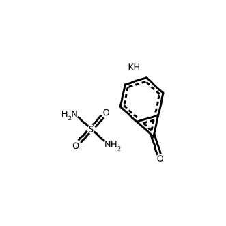 NS(N)(=O)=O.O=c1c2ccccc12.[KH]